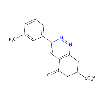 O=C1CC(C(=O)O)Cc2nnc(-c3cccc(C(F)(F)F)c3)cc21